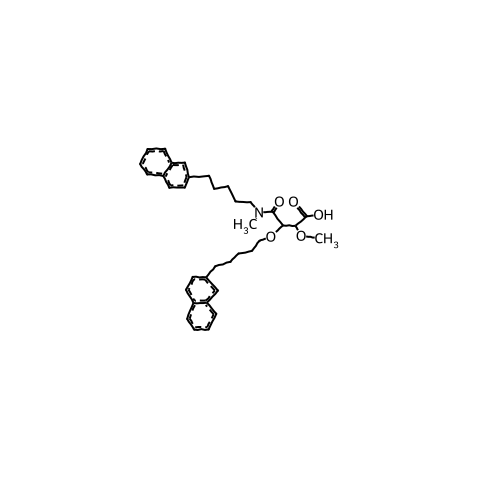 COC(C(=O)O)C(OCCCCCc1ccc2ccccc2c1)C(=O)N(C)CCCCCc1ccc2ccccc2c1